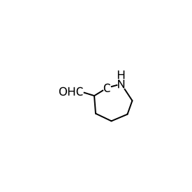 O=CC1CCCCNC1